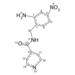 Nc1cc([N+](=O)[O-])ccc1CNC(=O)c1ccncc1